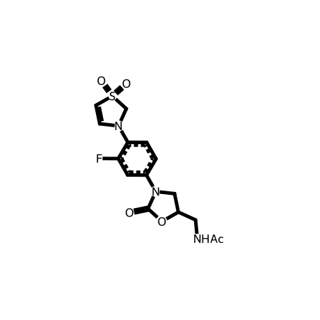 CC(=O)NCC1CN(c2ccc(N3C=CS(=O)(=O)C3)c(F)c2)C(=O)O1